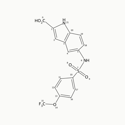 O=C(O)c1cc2cc(NS(=O)(=O)c3ccc(OC(F)(F)F)cc3)ccc2[nH]1